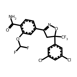 NC(=O)c1ccc(C2=NOC(c3cc(Cl)cc(Cl)c3)(C(F)(F)F)C2)cc1OC(F)F